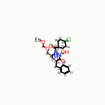 CCOCOC[C@H](C[C@H](Cc1ccccc1)C(=O)NO)NC(=O)C1CCC(Cl)CC1